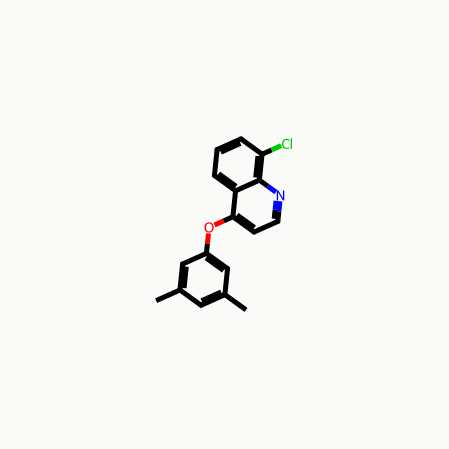 Cc1cc(C)cc(Oc2ccnc3c(Cl)cccc23)c1